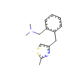 CCc1nc(Cc2ccccc2CN(C)C)cs1